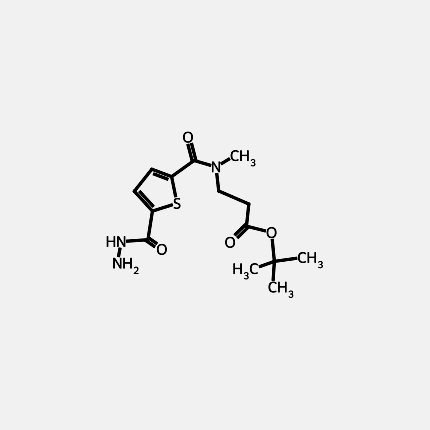 CN(CCC(=O)OC(C)(C)C)C(=O)c1ccc(C(=O)NN)s1